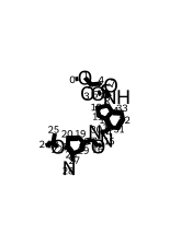 COC(=O)CS(=O)(=O)NC1CCc2c(-c3noc(-c4ccc(OC(C)C)c(C#N)c4)n3)cccc21